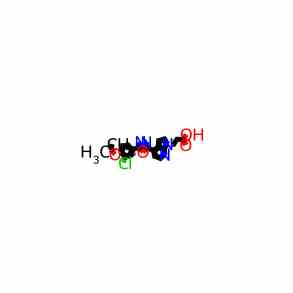 CC(C)Oc1ccc(-c2nnc(-c3ccnc4c3ccn4CCC(=O)O)o2)cc1Cl